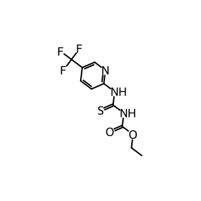 CCOC(=O)NC(=S)Nc1ccc(C(F)(F)F)cn1